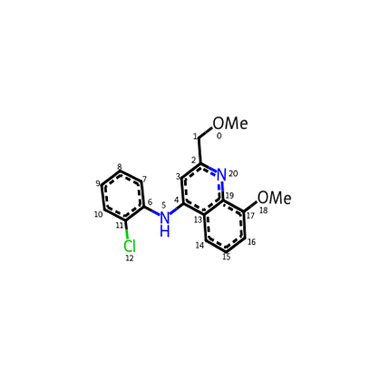 COCc1cc(Nc2ccccc2Cl)c2cccc(OC)c2n1